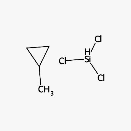 CC1CC1.Cl[SiH](Cl)Cl